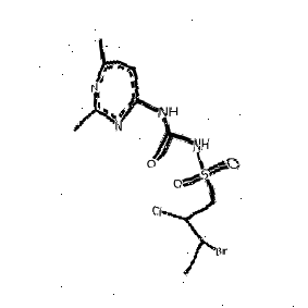 Cc1cc(NC(=O)NS(=O)(=O)CC(Cl)C(C)Br)nc(C)n1